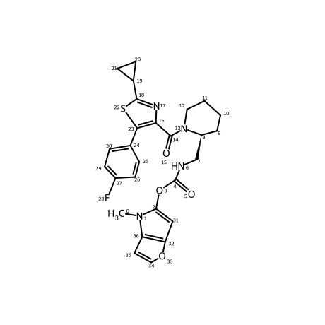 Cn1c(OC(=O)NC[C@@H]2CCCCN2C(=O)c2nc(C3CC3)sc2-c2ccc(F)cc2)cc2occc21